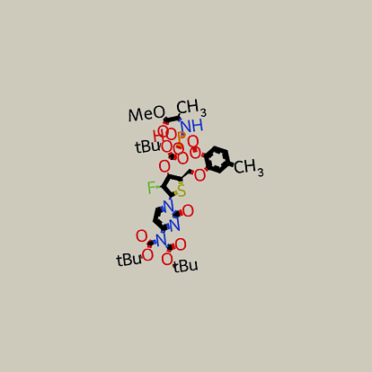 COC(=O)[C@H](C)NP(=O)(O)OOc1ccc(C)cc1OC[C@H]1S[C@@H](n2ccc(N(C(=O)OC(C)(C)C)C(=O)OC(C)(C)C)nc2=O)[C@@H](F)[C@@H]1OC(=O)OC(C)(C)C